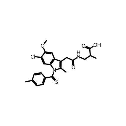 COc1cc2c(CC(=O)NCC(C)C(=O)O)c(C)n(C(=S)c3ccc(C)cc3)c2cc1Cl